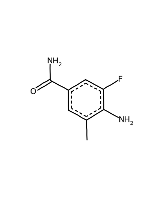 Cc1cc(C(N)=O)cc(F)c1N